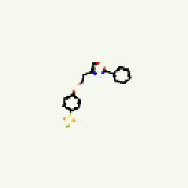 CS(=O)(=O)c1ccc(OCCc2coc(-c3ccccc3)n2)cc1